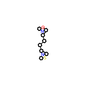 c1cc(-c2cccc(-c3ccc4c(c3)c3cccc5c3n4-c3ccccc3S5)c2)cc(-c2ccc3c(c2)c2cccc4c2n3-c2ccccc2O4)c1